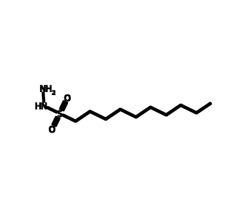 CCCCCCCCCCS(=O)(=O)NN